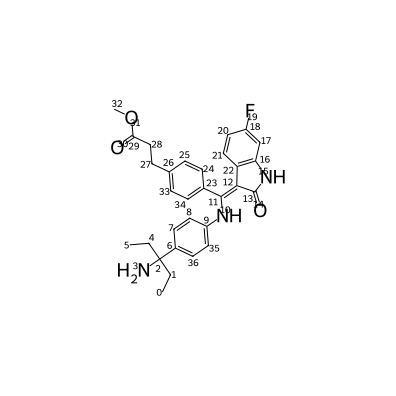 CCC(N)(CC)c1ccc(N/C(=C2\C(=O)Nc3cc(F)ccc32)c2ccc(CCC(=O)OC)cc2)cc1